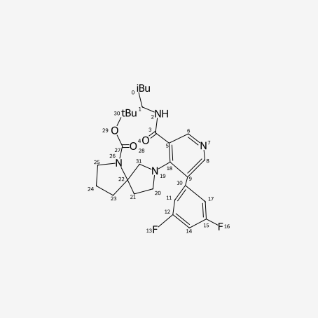 CCC(C)CNC(=O)c1cncc(-c2cc(F)cc(F)c2)c1N1CCC2(CCCN2C(=O)OC(C)(C)C)C1